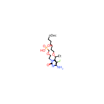 CCCCCCCCCCCCCCCCOC(CC)c1c(F)c(N)nc(=O)n1CCOCP(=O)(O)O